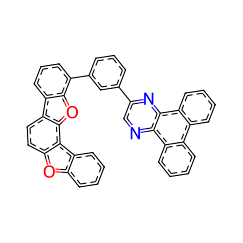 c1cc(-c2cnc3c4ccccc4c4ccccc4c3n2)cc(-c2cccc3c2oc2c3ccc3oc4ccccc4c32)c1